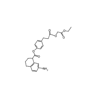 CCOC(=O)COC(=O)CCc1ccc(OC(=O)C2CCCc3ccc(N)cc32)cc1